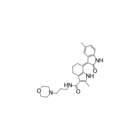 Cc1ccc2c(c1)/C(=C1\CCCc3c1[nH]c(C)c3C(=O)NCCCN1CCOCC1)C(=O)N2